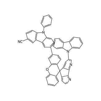 N#Cc1ccc2c(c1)c1cc(-c3ccc4c(c3)Oc3ccccc3C43c4cccnc4-c4ncc(-n5c6ccccc6c6ccccc65)cc43)ccc1n2-c1ccccc1